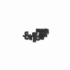 CC(=O)NCCCC1(NC(=O)c2cc3c(Cl)c(C)ccc3n2C)CCCN(S(=O)(=O)NC(=O)NC(C)C)C1